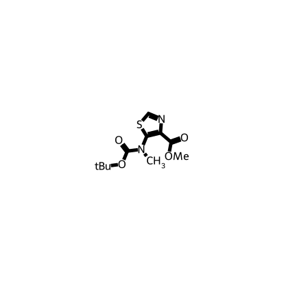 COC(=O)c1ncsc1N(C)C(=O)OC(C)(C)C